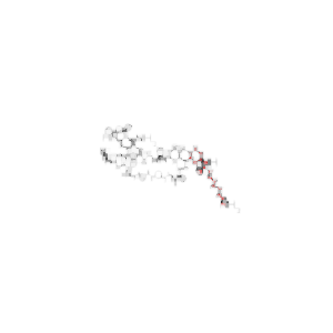 CN(CCOCCOCCN(C)C(=O)[C@@H]1CC(N=[N+]=[N-])CN1C(=O)c1ccc2c(=O)oc(=O)[nH]c2c1)C(=O)CCC12c3cc(NC(=O)CCCCCCCN)ccc3C(c3ccc(NC(=O)CCCCCCCN)cc31)c1ccc(NC(=O)CCCCCCCN)cc12